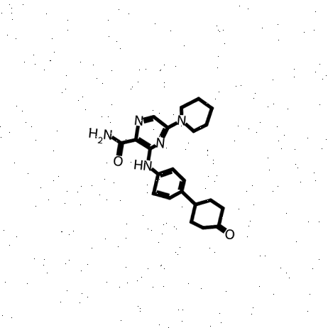 NC(=O)c1ncc(N2CCCCC2)nc1Nc1ccc(C2CCC(=O)CC2)cc1